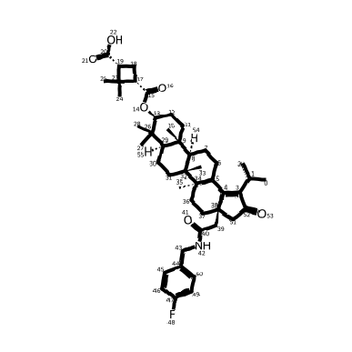 CC(C)C1=C2C3CC[C@@H]4[C@@]5(C)CC[C@H](OC(=O)[C@H]6C[C@@H](C(=O)O)C6(C)C)C(C)(C)[C@@H]5CC[C@@]4(C)[C@]3(C)CC[C@@]2(CC(=O)NCc2ccc(F)cc2)CC1=O